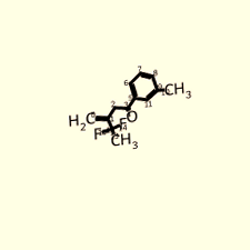 C=C(CC(=O)c1cccc(C)c1)C(C)(F)F